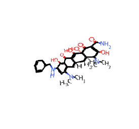 CN(C)c1cc(NCc2ccccc2)c(O)c2c1C[C@@H]1C[C@@H]3C(N(C)C)C(O)=C(C(N)=O)C(=O)[C@]3(O)C(O)=C1C2=O